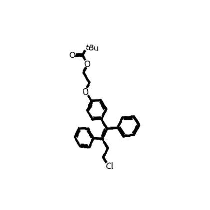 CC(C)(C)C(=O)OCCOc1ccc(C(=C(CCCl)c2ccccc2)c2ccccc2)cc1